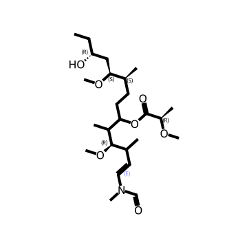 CC[C@@H](O)C[C@H](OC)[C@@H](C)CCC(OC(=O)[C@@H](C)OC)C(C)[C@H](OC)C(C)/C=C/N(C)C=O